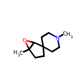 CN1CCC2(CC1)CCC1(C)OC21